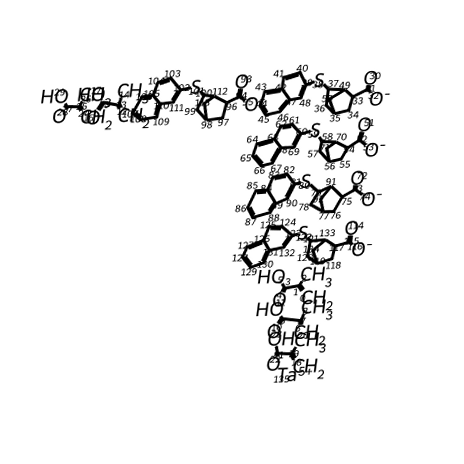 C=C(C)C(=O)O.C=C(C)C(=O)O.C=C(C)C(=O)O.C=C(C)C(=O)O.C=C(C)C(=O)O.O=C([O-])C1CC2CC(Sc3ccc4ccccc4c3)C1C2.O=C([O-])C1CC2CC(Sc3ccc4ccccc4c3)C1C2.O=C([O-])C1CC2CC(Sc3ccc4ccccc4c3)C1C2.O=C([O-])C1CC2CC(Sc3ccc4ccccc4c3)C1C2.O=C([O-])C1CC2CC(Sc3ccc4ccccc4c3)C1C2.[Ta+5]